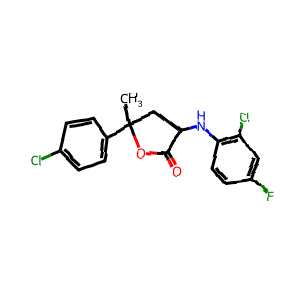 CC1(c2ccc(Cl)cc2)CC(Nc2ccc(F)cc2Cl)C(=O)O1